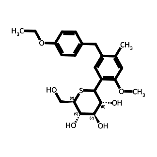 CCOc1ccc(Cc2cc(C3S[C@H](CO)[C@@H](O)[C@H](O)[C@H]3O)c(OC)cc2C)cc1